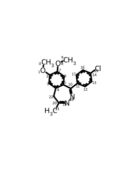 COc1cc2c(cc1OC)C(c1ccc(Cl)cc1)=NN=C(C)C2